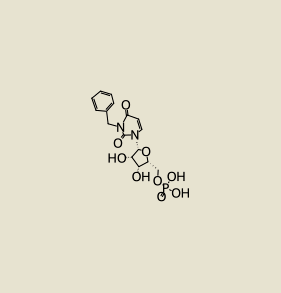 O=c1ccn([C@@H]2O[C@H](COP(=O)(O)O)[C@H](O)[C@@H]2O)c(=O)n1Cc1ccccc1